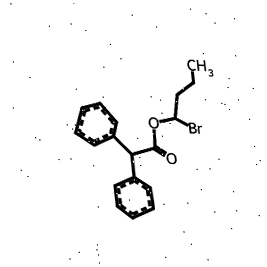 CCCC(Br)OC(=O)C(c1ccccc1)c1ccccc1